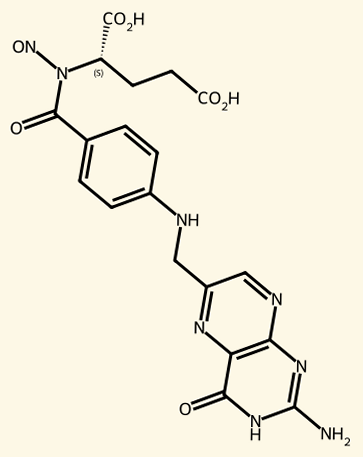 Nc1nc2ncc(CNc3ccc(C(=O)N(N=O)[C@@H](CCC(=O)O)C(=O)O)cc3)nc2c(=O)[nH]1